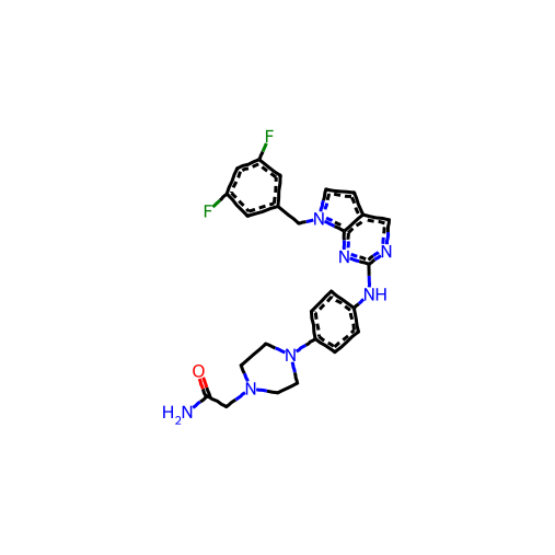 NC(=O)CN1CCN(c2ccc(Nc3ncc4ccn(Cc5cc(F)cc(F)c5)c4n3)cc2)CC1